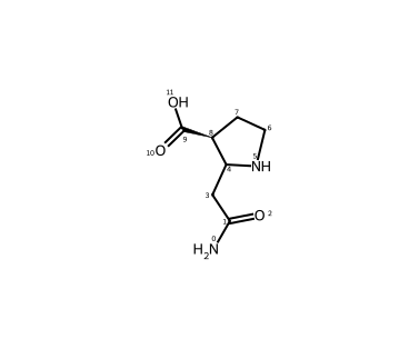 NC(=O)CC1NCC[C@@H]1C(=O)O